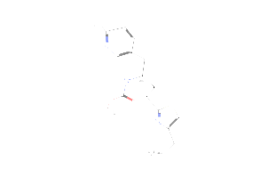 COCc1csc(CC[C@H](Cc2ccc(C(F)(F)F)nc2)NC(=O)OC(C)(C)C)n1